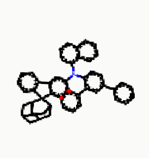 c1ccc(-c2ccc(N(c3ccc4c(c3)-c3ccccc3C43C4CC5CC(C4)CC3C5)c3cccc4ccccc34)c(-c3ccccc3)c2)cc1